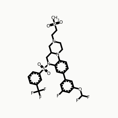 CS(=O)(=O)CCN1CCN2c3ccc(-c4cc(F)cc(OC(F)F)c4)cc3N(S(=O)(=O)c3cccc(C(F)(F)F)c3)CC2C1